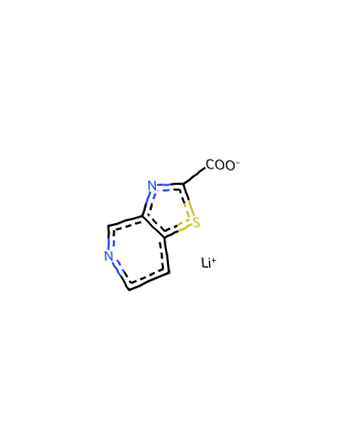 O=C([O-])c1nc2cnccc2s1.[Li+]